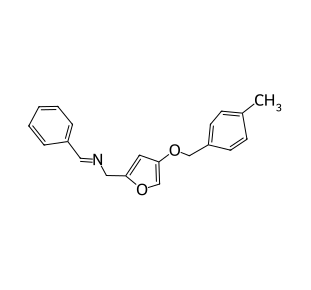 Cc1ccc(COc2coc(CN=Cc3ccccc3)c2)cc1